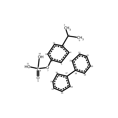 CC(C)c1ccc(OP(=O)(O)O)cc1.c1ccc(-c2ccccc2)cc1